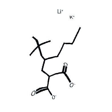 CCCCC(CC(C(=O)[O-])C(=O)[O-])C(C)(C)C.[K+].[Li+]